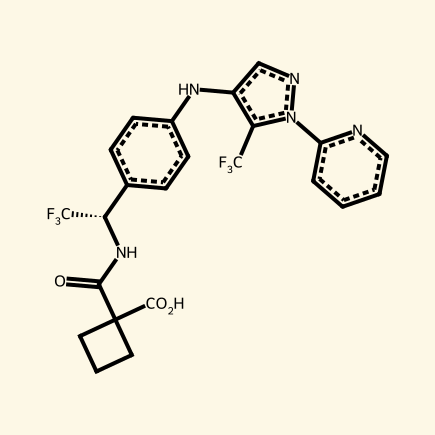 O=C(O)C1(C(=O)N[C@@H](c2ccc(Nc3cnn(-c4ccccn4)c3C(F)(F)F)cc2)C(F)(F)F)CCC1